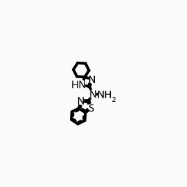 NN(C1=NC2(CCCCC2)N1)c1nc2ccccc2s1